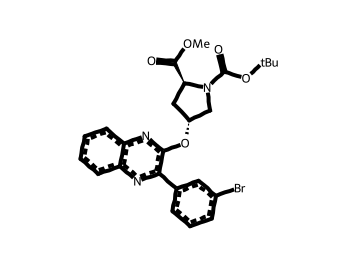 COC(=O)[C@@H]1C[C@@H](Oc2nc3ccccc3nc2-c2cccc(Br)c2)CN1C(=O)OC(C)(C)C